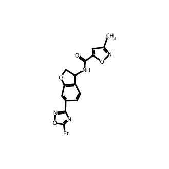 CCc1nc(-c2ccc3c(c2)OCC3NC(=O)c2cc(C)no2)no1